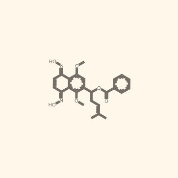 COc1cc(C(CC=C(C)C)OC(=O)c2ccccc2)c(OC)c2c1C(=NO)C=CC2=NO